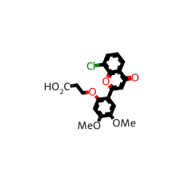 COc1cc(OCCC(=O)O)c(-c2cc(=O)c3cccc(Cl)c3o2)cc1OC